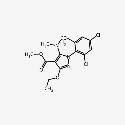 CCOc1nn(-c2c(Cl)cc(Cl)cc2Cl)c(N(C)C)c1C(=O)OC